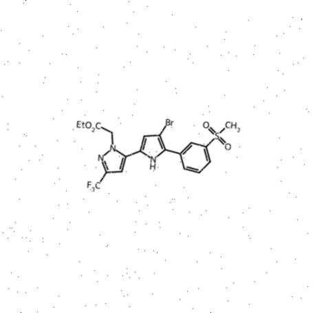 CCOC(=O)Cn1nc(C(F)(F)F)cc1-c1cc(Br)c(-c2cccc(S(C)(=O)=O)c2)[nH]1